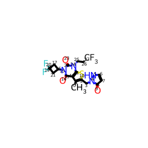 Cc1c(Cn2[nH]ccc2=O)sc2c1c(=O)n(C1CC(F)(F)C1)c(=O)n2CCC(F)(F)F